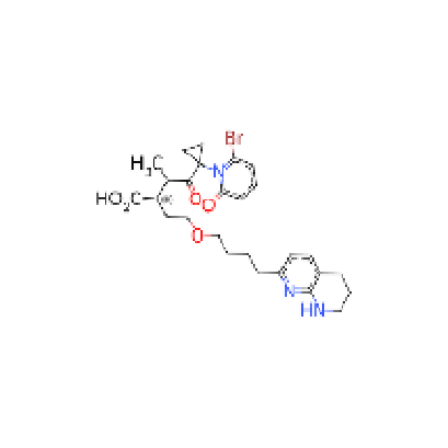 CC(C(=O)C1(n2c(Br)cccc2=O)CC1)[C@@H](CCOCCCCc1ccc2c(n1)NCCC2)C(=O)O